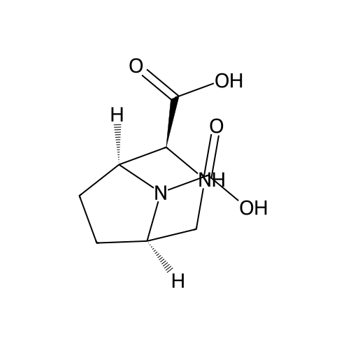 O=C(O)[C@H]1NC[C@H]2CC[C@@H]1N2C(=O)O